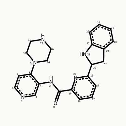 O=C(Nc1cnccc1N1CCNCC1)c1cccc(C2Cc3ccccc3N2)n1